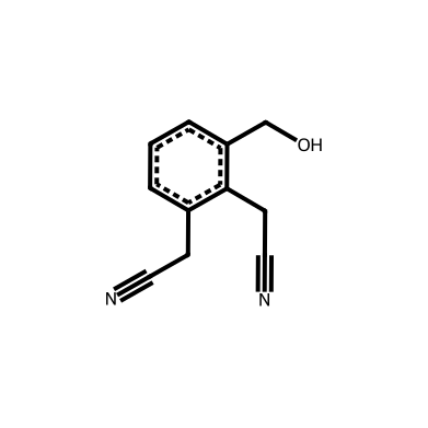 N#CCc1cccc(CO)c1CC#N